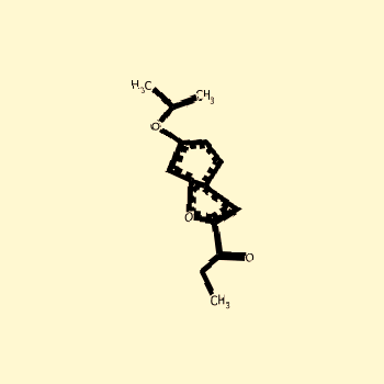 CCC(=O)c1cc2ccc(OC(C)C)cc2o1